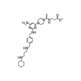 COC(=O)CCNC(=S)N1CCN(c2cc(N)nc(NCc3ccc(CNCCCNC4CCCCC4)cc3)n2)CC1